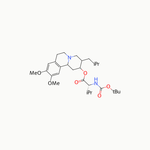 COc1cc2c(cc1OC)C1CC(OC(=O)[C@H](NC(=O)OC(C)(C)C)C(C)C)C(CC(C)C)CN1CC2